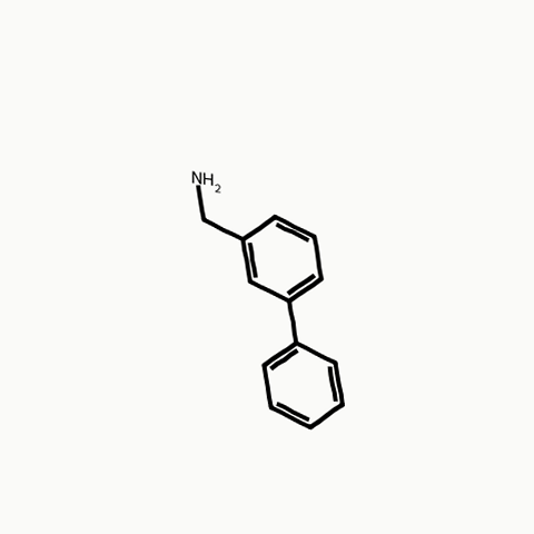 NCc1cccc(-c2ccccc2)c1